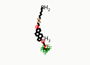 BCCCCCCSSCCOc1ccc2c(c1)CCC1C2CCC2(C)C(OCCCOC(C(F)(F)F)(C(F)(F)F)C(F)(F)F)CCC12